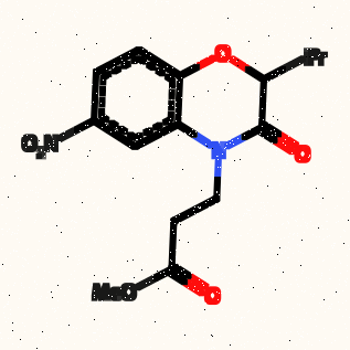 COC(=O)CCN1C(=O)C(C(C)C)Oc2ccc([N+](=O)[O-])cc21